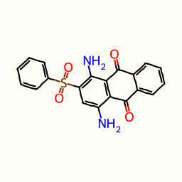 Nc1cc(S(=O)(=O)c2ccccc2)c(N)c2c1C(=O)c1ccccc1C2=O